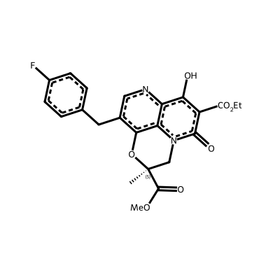 CCOC(=O)c1c(O)c2ncc(Cc3ccc(F)cc3)c3c2n(c1=O)C[C@@](C)(C(=O)OC)O3